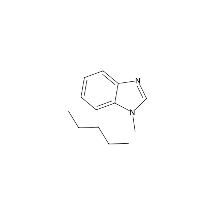 CCCCC.Cn1cnc2ccccc21